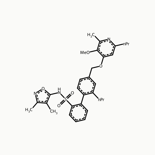 CCCc1cc(OCc2ccc(-c3ccccc3S(=O)(=O)Nc3onc(C)c3C)c(CCC)c2)c(OC)c(C)n1